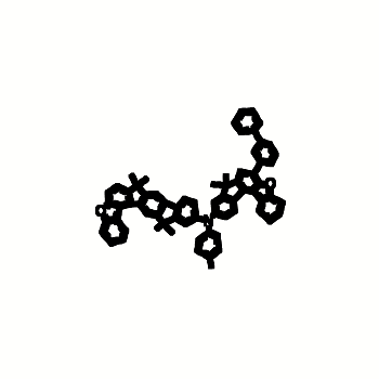 Cc1ccc(N(c2ccc3c(c2)C(C)(C)c2cc4c(cc2-3)C(C)(C)c2ccc3oc5ccccc5c3c2-4)c2ccc3c(c2)C(C)(C)c2cc(-c4cccc(-c5ccccc5)c4)c4oc5ccccc5c4c2-3)cc1